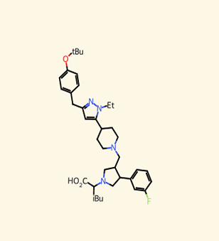 CCC(C)C(C(=O)O)N1CC(CN2CCC(c3cc(Cc4ccc(OC(C)(C)C)cc4)nn3CC)CC2)C(c2cccc(F)c2)C1